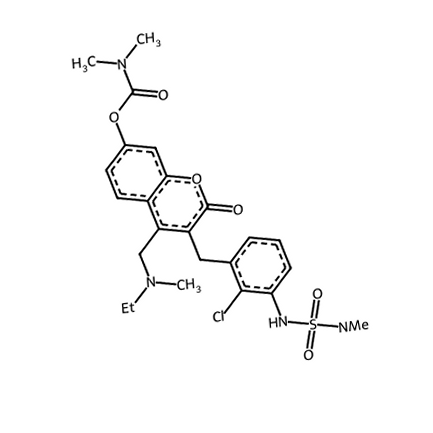 CCN(C)Cc1c(Cc2cccc(NS(=O)(=O)NC)c2Cl)c(=O)oc2cc(OC(=O)N(C)C)ccc12